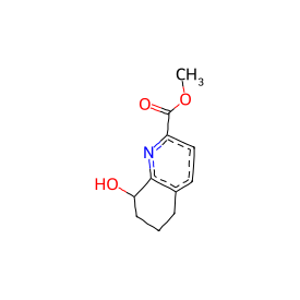 COC(=O)c1ccc2c(n1)C(O)CCC2